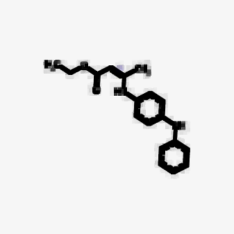 CCOC(=O)/C=C(/C)Nc1ccc(Nc2ccccc2)cc1